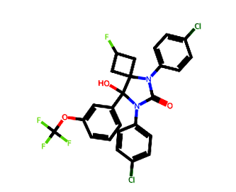 O=C1N(c2ccc(Cl)cc2)C2(CC(F)C2)C(O)(c2cccc(OC(F)(F)F)c2)N1c1ccc(Cl)cc1